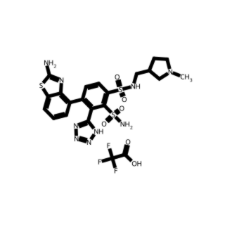 CN1CCC(CNS(=O)(=O)c2ccc(-c3cccc4sc(N)nc34)c(-c3nnn[nH]3)c2S(N)(=O)=O)C1.O=C(O)C(F)(F)F